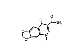 Cn1nc(C(N)=O)c(=O)c2cc3c(cc21)OCO3